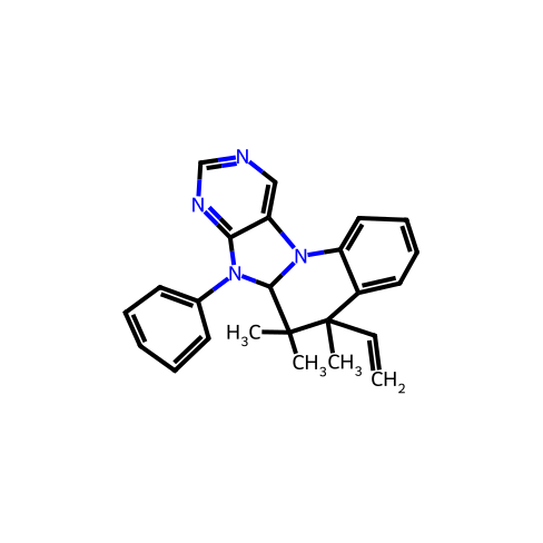 C=CC1(C)c2ccccc2N2c3cncnc3N(c3ccccc3)C2C1(C)C